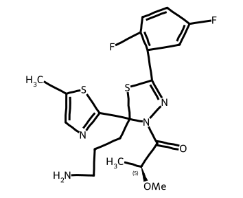 CO[C@@H](C)C(=O)N1N=C(c2cc(F)ccc2F)SC1(CCCN)c1ncc(C)s1